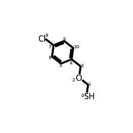 SCOCc1ccc(Cl)cc1